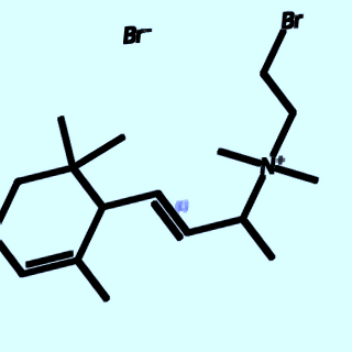 CC1=CCCC(C)(C)C1/C=C/C(C)[N+](C)(C)CCBr.[Br-]